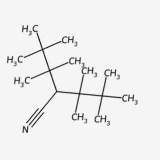 CC(C)(C)C(C)(C)C(C#N)C(C)(C)C(C)(C)C